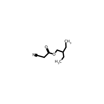 CCC(CC)COC(=O)CC#N